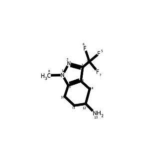 Cn1nc(C(F)(F)F)c2c1CCC(N)C2